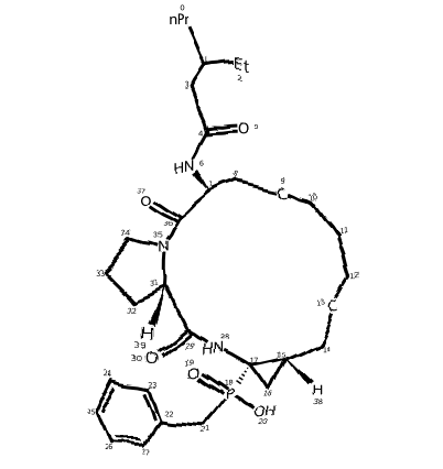 CCCC(CC)CC(=O)N[C@H]1CCCCCCC[C@@H]2C[C@@]2(P(=O)(O)Cc2ccccc2)NC(=O)[C@@H]2CCCN2C1=O